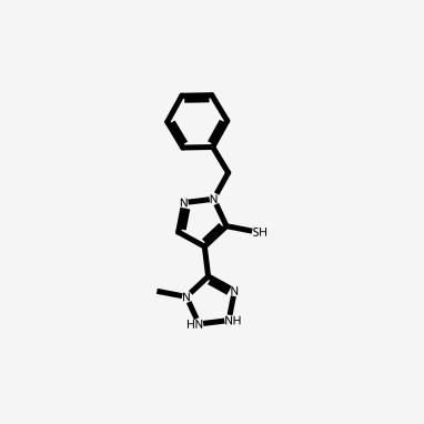 CN1NNN=C1c1cnn(Cc2ccccc2)c1S